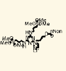 CCCCCCCCCC(=O)OCCCC[N+]1(c2nc(NCCC[Si](OC)(OC)OC)nc(NCCC[Si](OC)(OC)OC)n2)C=CN=C1.[Cl-]